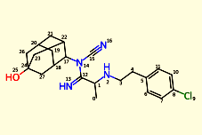 CC(NCCc1ccc(Cl)cc1)C(=N)N(C#N)C1C2CC3CC1CC(O)(C3)C2